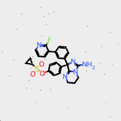 NC1=NC(c2ccc(OS(=O)(=O)C3CC3)cc2)(c2cccc(-c3cccnc3F)c2)C2=NCCCN12